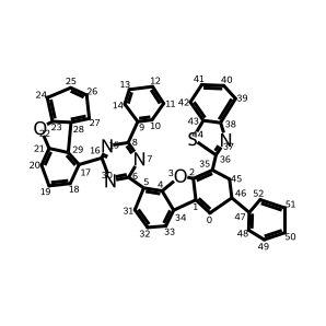 C1=c2c(oc3c(-c4nc(-c5ccccc5)nc(-c5cccc6oc7ccccc7c56)n4)cccc23)=C(c2nc3ccccc3s2)CC1c1ccccc1